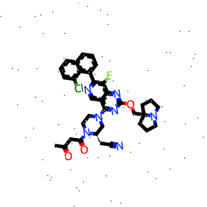 CC(=O)CC(=O)N1CCN(c2nc(OCC34CCCN3CCC4)nc3c(F)c(-c4cccc5cccc(Cl)c45)ncc23)C[C@@H]1CC#N